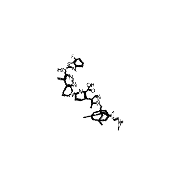 Cc1c(Nc2nc3cccc(F)c3s2)nnc2c1CCCN2c1ccc(-c2cnn(CC34CC5(C)CC(C)(C3)CC(OCCN(C)C)(C5)C4)c2C)c(C(=O)O)n1